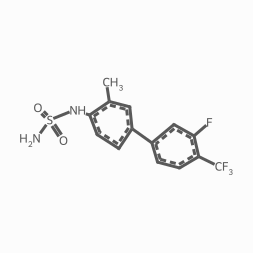 Cc1cc(-c2ccc(C(F)(F)F)c(F)c2)ccc1NS(N)(=O)=O